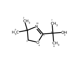 CC1(C)COC(C(C)(C)O)=N1